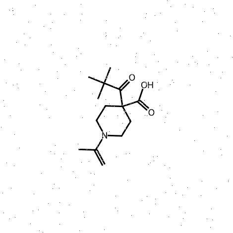 C=C(C)N1CCC(C(=O)O)(C(=O)C(C)(C)C)CC1